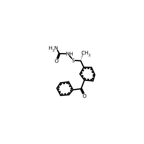 C[C@@H](SNC(N)=O)c1cccc(C(=O)c2ccccc2)c1